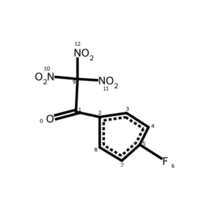 O=C(c1ccc(F)cc1)C([N+](=O)[O-])([N+](=O)[O-])[N+](=O)[O-]